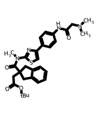 CN(C)CC(=O)Nc1ccc(-c2csc(N(C)C(=O)C3(CC(=O)OC(C)(C)C)Cc4ccccc4C3)n2)cc1